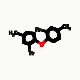 Cc1ccc(Oc2ccc(C)cc2C(C)C)c(C(C)C)c1